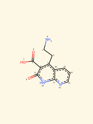 NCCc1c(C(=O)O)c(=O)[nH]c2ncccc12